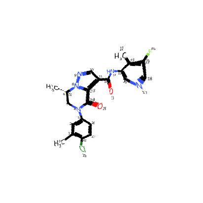 Cc1cc(N2C[C@H](C)n3ncc(C(=O)Nc4cncc(F)c4C)c3C2=O)ccc1Cl